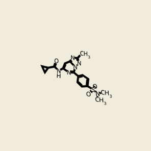 Cc1nc2cc(NC(=O)C3CC3)nc(-c3ccc(S(=O)(=O)N(C)C)cc3)n2n1